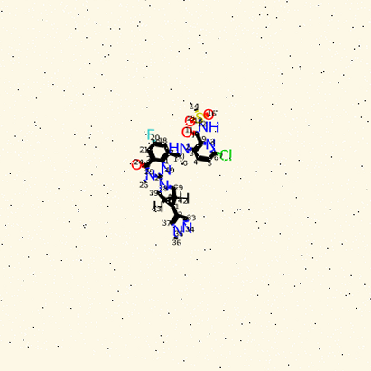 C[C@@H](Nc1ccc(Cl)nc1C(=O)NS(C)(=O)=O)c1cc(F)cc2c(=O)n(C)c(N3C[C@@H]4C(c5cnn(C)c5)[C@@H]4C3)nc12